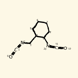 O=C=NCC1CCCCC1N=C=O